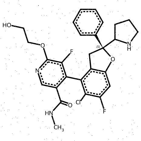 CNC(=O)c1cnc(OCCO)c(F)c1-c1c(Cl)c(F)cc2c1C[C@](c1ccccc1)(C1CCCN1)O2